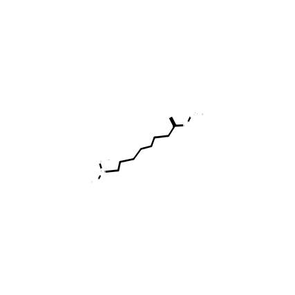 CCCCCCCCCOC(=O)CCCCCCCN(CCC)CCCCCCC